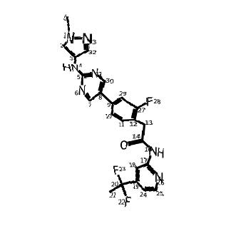 Cn1cc(Nc2ncc(-c3ccc(CC(=O)Nc4cc(C(C)(F)F)ccn4)c(F)c3)cn2)cn1